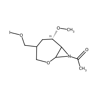 CO[C@H]1CC(COI)COC2C1N2C(C)=O